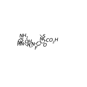 CC1Sc2c(C(=O)O)c(=O)c3cc(F)c(N4CCN(CC(O)Nc5ncc(N)s5)CC4)cc3n21